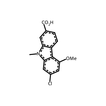 COc1cc(Cl)cc2c1c1ccc(C(=O)O)cc1n2C